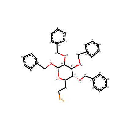 PCC[C@H]1OC(OCc2ccccc2)[C@@H](OCc2ccccc2)[C@@H](OCc2ccccc2)[C@@H]1OCc1ccccc1